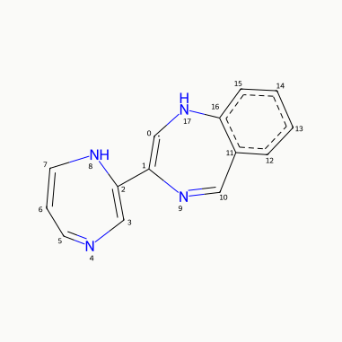 [C]1=C(C2=CN=CC=CN2)N=Cc2ccccc2N1